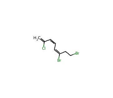 C=C(Cl)/C=C\C=C(\Br)CCBr